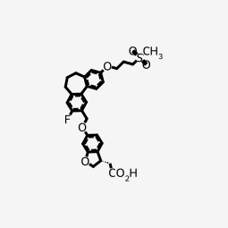 CS(=O)(=O)CCCOc1ccc2c(c1)CCCc1cc(F)c(COc3ccc4c(c3)OC[C@H]4CC(=O)O)cc1-2